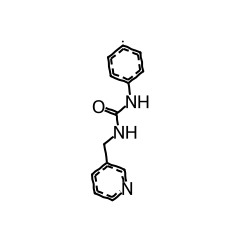 O=C(NCc1cccnc1)Nc1cc[c]cc1